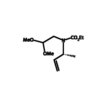 C=C[C@@H](C)N(CC(OC)OC)C(=O)OCC